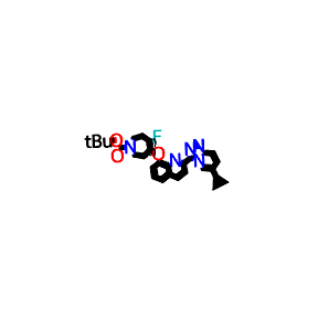 CC(C)(C)OC(=O)N1CC[C@H](Oc2cccc3ccc(-c4nnc5ccc(C6CC6)cn45)nc23)[C@@H](F)CC1